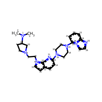 CN(C)C1CCN(CCn2ccc3ccc(N4CCN(c5cccc6nccn56)CC4)nc32)C1